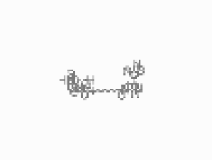 COc1cc(-c2cn(C)c(=O)c3c2CCN(C(=O)CCCCCCCCNc2cccc4c2C(=O)N(C2CCC(=O)NC2=O)C4=O)C3)cc(OC)c1CN(C)C